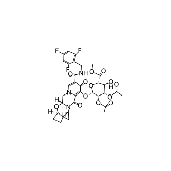 COC(=O)[C@H]1O[C@@H](Oc2c3n(cc(C(=O)NCc4c(F)cc(F)cc4F)c2=O)C[C@H]2O[C@@H]4CCC45C[C@H]5N2C3=O)[C@H](OC(C)=O)[C@@H](OC(C)=O)[C@@H]1O